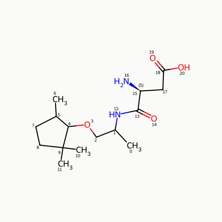 CC(COC1C(C)CCC1(C)C)NC(=O)[C@@H](N)CC(=O)O